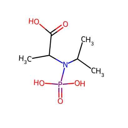 CC(C)N(C(C)C(=O)O)P(=O)(O)O